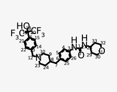 O=C(Nc1ccc(CC2CCN(Cc3ccc(C(O)(C(F)(F)F)C(F)(F)F)cc3)CC2)cc1)NC1CCOCC1